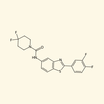 O=C(Nc1ccc2sc(-c3ccc(F)c(F)c3)nc2c1)N1CCC(F)(F)CC1